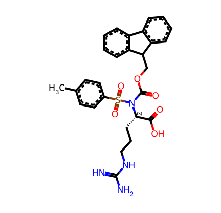 Cc1ccc(S(=O)(=O)N(C(=O)OCC2c3ccccc3-c3ccccc32)[C@@H](CCCNC(=N)N)C(=O)O)cc1